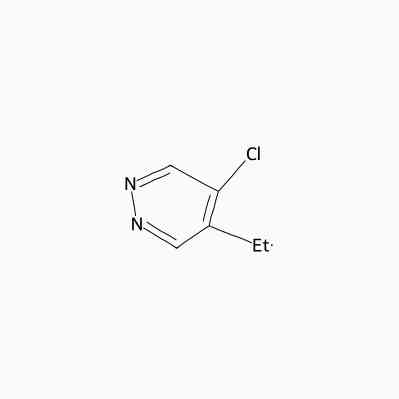 C[CH]c1cnncc1Cl